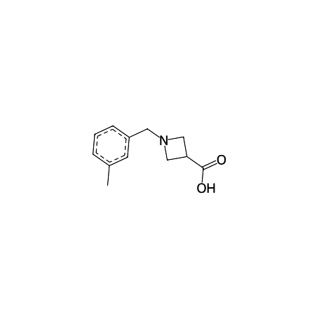 Cc1cccc(CN2CC(C(=O)O)C2)c1